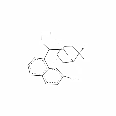 CC[C@H]1CN2CC[C@H]1C[C@H]2[C@@](OC(=O)O)(C(=O)O)c1ccnc2ccc(OC)cc12